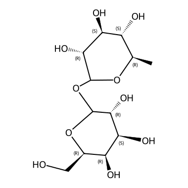 C[C@H]1OC(OC2O[C@H](CO)[C@H](O)[C@H](O)[C@H]2O)[C@H](O)[C@@H](O)[C@@H]1O